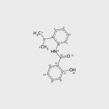 CC(C)c1ccccc1NC(=O)c1ccccc1O